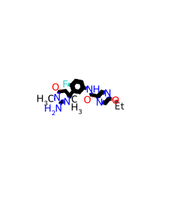 CCOc1cnc(C(=O)Nc2ccc(F)c(C3(C)CC(=O)N(C)C(N)=N3)c2)cn1